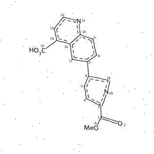 COC(=O)c1ccc(-c2ccc3nccc(C(=O)O)c3c2)cn1